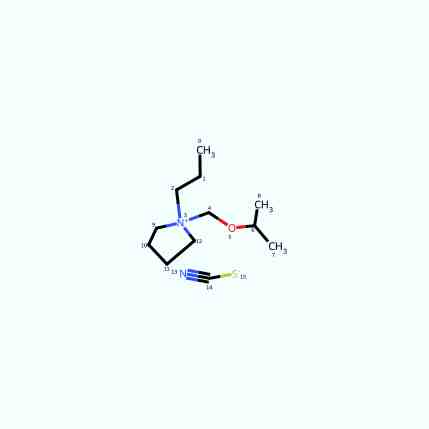 CCC[N+]1(COC(C)C)CCCC1.N#C[S-]